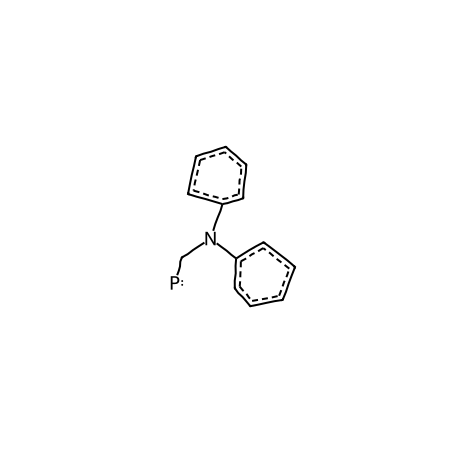 [P]CN(c1ccccc1)c1ccccc1